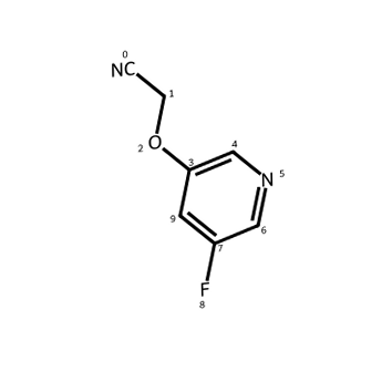 N#CCOc1cncc(F)c1